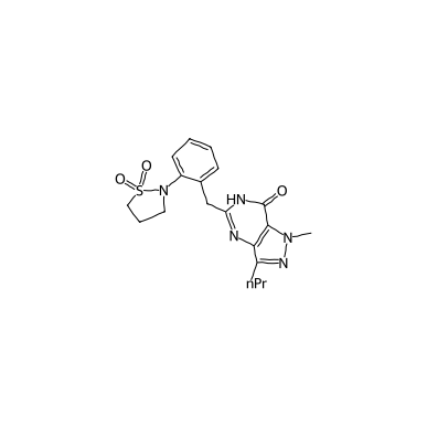 CCCc1nn(C)c2c(=O)[nH]c(Cc3ccccc3N3CCCS3(=O)=O)nc12